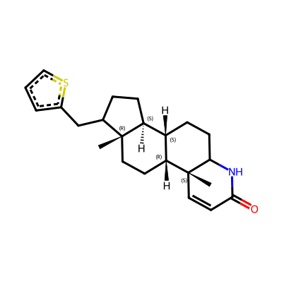 C[C@]12C=CC(=O)NC1CC[C@@H]1[C@H]2CC[C@]2(C)C(Cc3cccs3)CC[C@@H]12